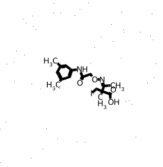 CC(=NOCC(=O)Nc1cc(C)cc(C)c1)C(C)(CI)C(=O)O